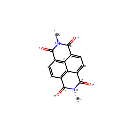 CC[C@H](C)N1C(=O)c2ccc3c4c(ccc(c24)C1=O)C(=O)N([C@@H](C)CC)C3=O